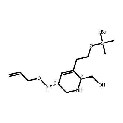 C=CCON[C@@H]1C=C(CCO[Si](C)(C)C(C)(C)C)[C@@H](CO)NC1